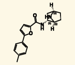 Cc1ccc(-c2ccc(C(=O)N[C@@H]3C[C@H]4CC[C@@H]3N4)o2)cc1